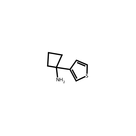 NC1(c2ccsc2)CCC1